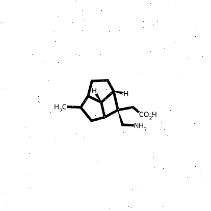 CC1CC2[C@@H]3C1CC[C@@H]3[C@]2(CN)CC(=O)O